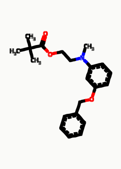 CN(CCOC(=O)C(C)(C)C)c1cccc(OCc2ccccc2)c1